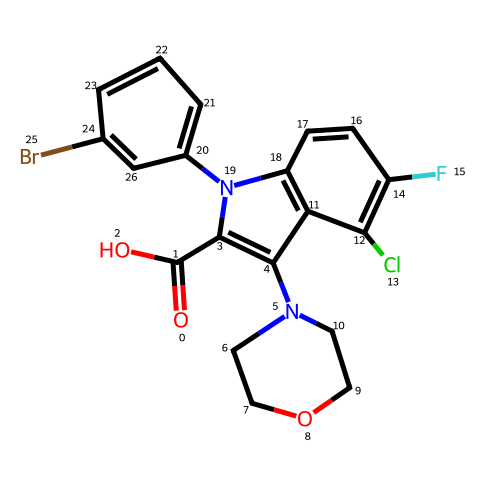 O=C(O)c1c(N2CCOCC2)c2c(Cl)c(F)ccc2n1-c1cccc(Br)c1